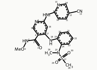 CONC(=O)c1cnc(Nc2ccc(C#N)cn2)cc1Nc1ccccc1N(C)S(C)(=O)=O